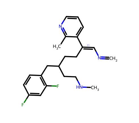 C=N/C=C(\CCC(CCNC)Cc1ccc(F)cc1F)c1cccnc1C